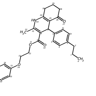 CCCc1ccc(C2C(C(=O)OCCOc3ccccc3)=C(C)NC3=C2C(=O)CCC3)cc1